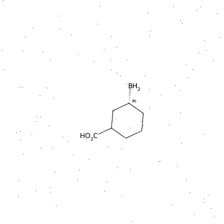 B[C@@H]1CCCC(C(=O)O)C1